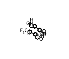 CN(C)S(=O)(=O)c1ccc(-c2ccc3c(c2)CCC(=O)N3)cc1.O=C1CCc2cc(-c3ccc(C(F)(F)F)nc3)ccc2N1